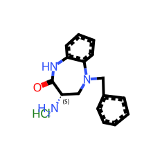 Cl.N[C@H]1CN(Cc2ccccc2)c2ccccc2NC1=O